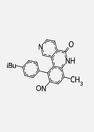 CCC(C)c1ccc(-c2c(N=O)cc(C)c3[nH]c(=O)c4ccncc4c23)cc1